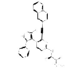 CNC(C)C(=O)Nc1ccc(-c2c(-c3ccccc3)noc2C)c(C#Cc2ccc3ccccc3c2)n1